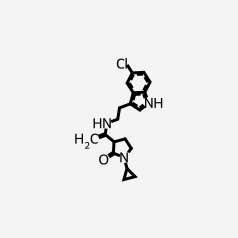 C=C(NCCc1c[nH]c2ccc(Cl)cc12)C1CCN(C2CC2)C1=O